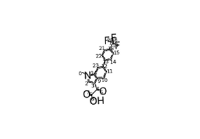 Cn1cc(C(=O)C(=O)O)c2ccc(-c3ccc(C(F)(F)F)cc3)cc21